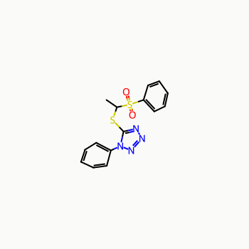 CC(Sc1nnnn1-c1ccccc1)S(=O)(=O)c1ccccc1